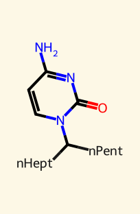 CCCCCCCC(CCCCC)n1ccc(N)nc1=O